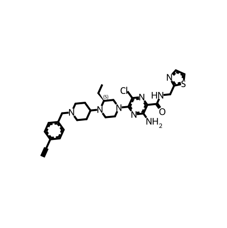 C#Cc1ccc(CN2CCC(N3CCN(c4nc(N)c(C(=O)NCc5nccs5)nc4Cl)C[C@@H]3CC)CC2)cc1